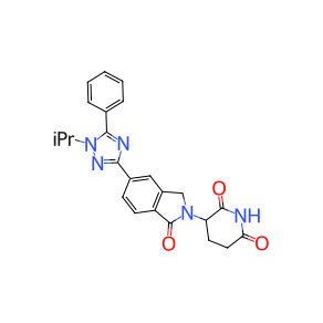 CC(C)n1nc(-c2ccc3c(c2)CN(C2CCC(=O)NC2=O)C3=O)nc1-c1ccccc1